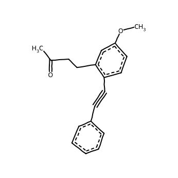 COc1ccc(C#Cc2ccccc2)c(CCC(C)=O)c1